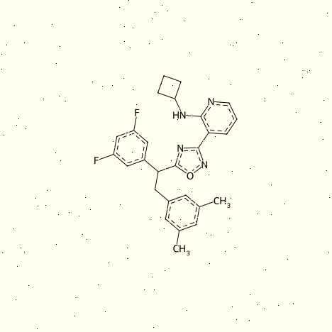 Cc1cc(C)cc(CC(c2cc(F)cc(F)c2)c2nc(-c3cccnc3NC3CCC3)no2)c1